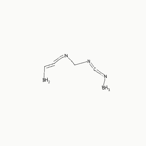 BC=C=NCN=C=NB